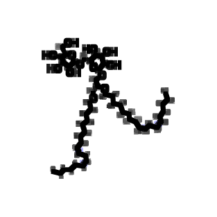 CCCCC/C=C\C/C=C\CCCCCCCCOC[C@H](CO[C@@H]1O[C@H](CO[C@H]2O[C@H](CO)[C@H](O)[C@H](O)[C@H]2O)[C@H](O)[C@H](O)[C@H]1O)OCCCCCCCC/C=C\C/C=C\CCCCC